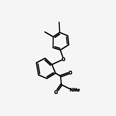 CNC(=O)C(=O)c1ccccc1Oc1ccc(C)c(C)c1